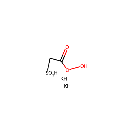 O=C(CS(=O)(=O)O)OO.[KH].[KH]